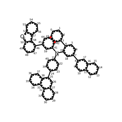 c1ccc(-c2ccc(-c3ccc4ccccc4c3)cc2N(c2ccc(-c3cc4ccccc4c4ccccc34)cc2)c2cccc(-c3cccc4oc5ccccc5c34)c2)cc1